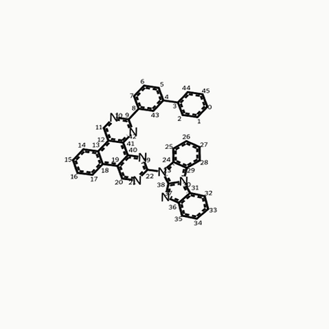 c1ccc(-c2cccc(-c3ncc4c5ccccc5c5cnc(-n6c7ccccc7n7c8ccccc8nc67)nc5c4n3)c2)cc1